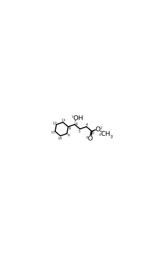 COC(=O)CC[C@@H](O)C1CCCCC1